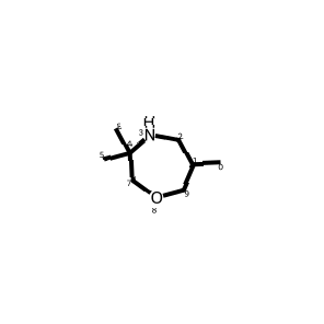 CC1CNC(C)(C)COC1